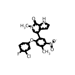 Cc1cc(Oc2ccc(F)c(Cl)c2)c(-c2cn(C)c(=O)c3[nH]ccc23)cc1[N+](=O)[O-]